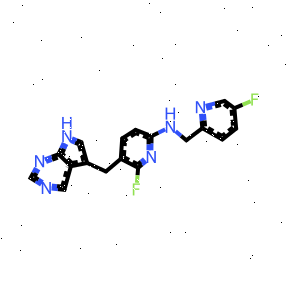 Fc1ccc(CNc2ccc(Cc3c[nH]c4ncncc34)c(F)n2)nc1